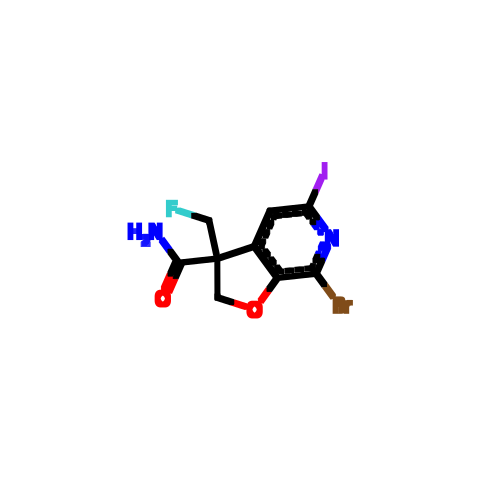 NC(=O)C1(CF)COc2c1cc(I)nc2Br